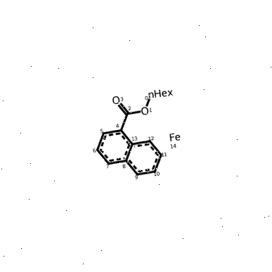 CCCCCCOC(=O)c1cccc2ccccc12.[Fe]